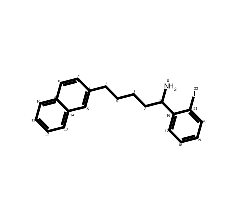 NC(CCCCc1ccc2ccccc2c1)c1ccccc1I